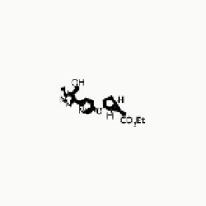 CCOC(=O)CC1[C@H]2[C@H](Oc3ccc(-c4nnn(C)c4CO)nc3)CC[C@@H]12